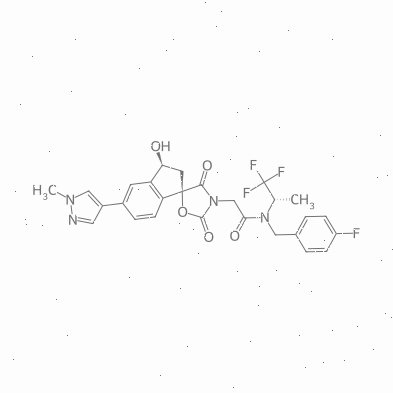 C[C@H](N(Cc1ccc(F)cc1)C(=O)CN1C(=O)O[C@@]2(C[C@H](O)c3cc(-c4cnn(C)c4)ccc32)C1=O)C(F)(F)F